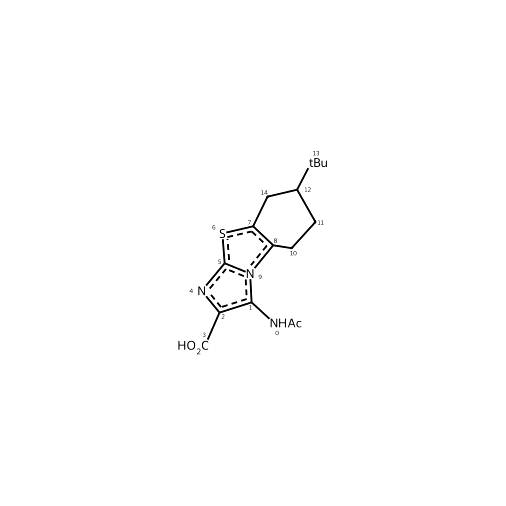 CC(=O)Nc1c(C(=O)O)nc2sc3c(n12)CCC(C(C)(C)C)C3